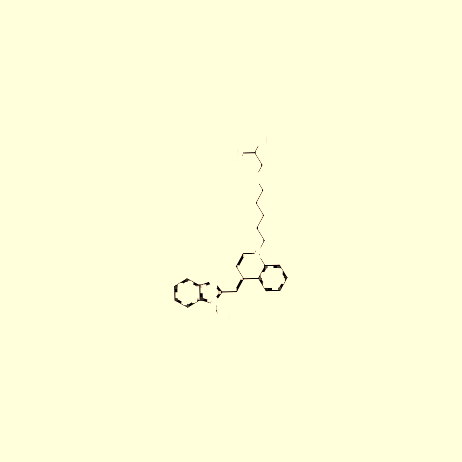 CC(N)CSCCCCCN1C=CC(=Cc2sc3ccccc3[n+]2C)c2ccccc21